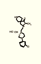 CN1C(=O)C2(CCNCC2)C[C@@H]1CCN1CCN(c2cccc(Cl)c2)CC1.Cl.Cl